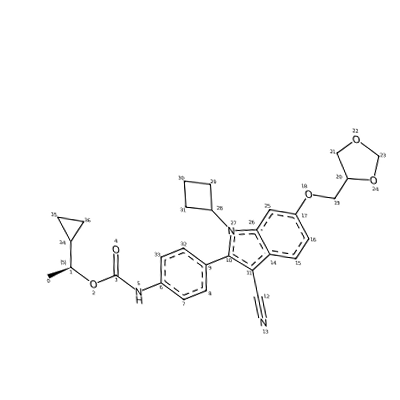 C[C@H](OC(=O)Nc1ccc(-c2c(C#N)c3ccc(OCC4COCO4)cc3n2C2CCC2)cc1)C1CC1